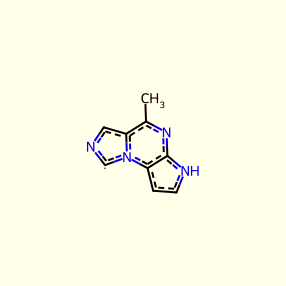 Cc1nc2[nH]ccc2n2[c]ncc12